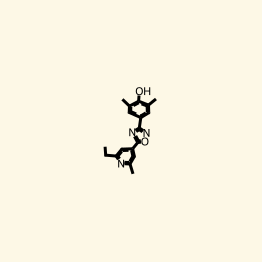 CCc1cc(-c2nc(-c3cc(C)c(O)c(C)c3)no2)cc(C)n1